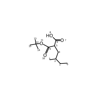 CCC(C)CC(C(=O)O)C(=O)OC(C)(C)C